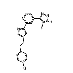 Fc1[nH]nnc1-c1ccnc(-c2cn(CCc3ccc(Cl)cc3)cn2)c1